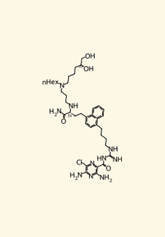 CCCCCCN(CCCC[C@H](O)CO)CCCN[C@@H](CCc1ccc(CCCCNC(=N)NC(=O)c2nc(Cl)c(N)nc2N)c2ccccc12)C(N)=O